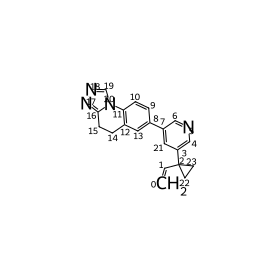 C=CC1(c2cncc(-c3ccc4c(c3)CCc3nncn3-4)c2)CC1